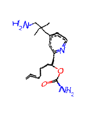 C=CCC(OC(N)=O)c1cc(C(C)(C)CN)ccn1